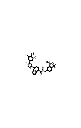 CC1(C)OB(O)c2cc(CNC(=O)c3ccc(C4=NO[C@@](C)(c5cc(Cl)c(Cl)c(Cl)c5)C4)n4cccc34)ccc21